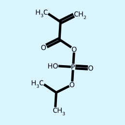 C=C(C)C(=O)OP(=O)(O)OC(C)C